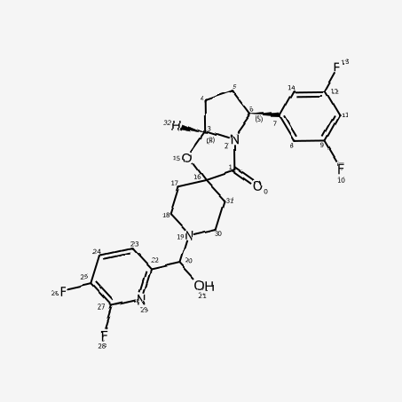 O=C1N2[C@@H](CC[C@H]2c2cc(F)cc(F)c2)OC12CCN(C(O)c1ccc(F)c(F)n1)CC2